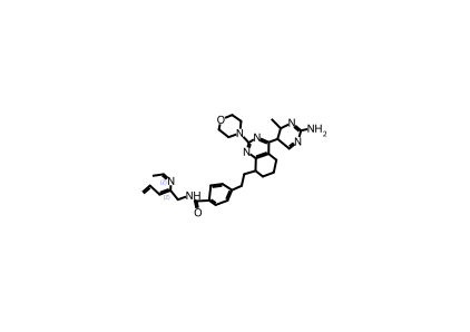 C=C/C=C(CNC(=O)c1ccc(CCC2CCCc3c2nc(N2CCOCC2)nc3C2C=NC(N)=NC2C)cc1)\N=C/C